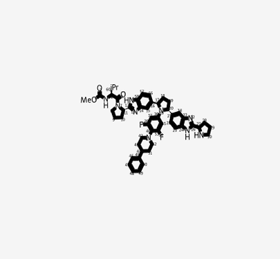 COC(=O)N[C@H](C(=O)N1CCC[C@H]1c1nc2cc([C@H]3CC[C@H](c4ccc5[nH]c(C6CCCN6)nc5c4)N3c3cc(F)c(N4CCC(c5ccccc5)CC4)c(F)c3)ccc2[nH]1)C(C)C